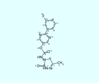 CC1=NNC(=O)N(NC(=O)Oc2cnc(-c3cccc(F)c3)nc2)C1